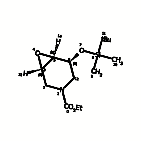 CCOC(=O)N1C[C@H]2O[C@H]2[C@H](O[Si](C)(C)C(C)(C)C)C1